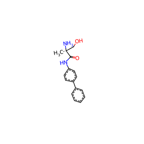 C[C@](N)(CO)C(=O)Nc1ccc(-c2ccccc2)cc1